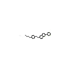 CCCCCc1ccc(CCc2ccc3c(F)c(-c4cc(F)cc(F)c4)ccc3c2)cc1